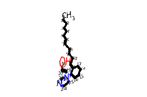 CCCCCCCCCCCCC1CCCCC1[N+]1(CCO)C=NCC1